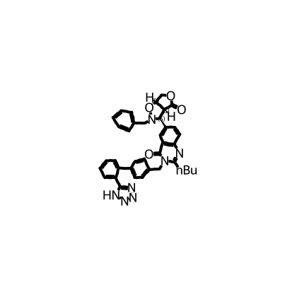 CCCCc1nc2ccc([C@@H]3[C@@H]4C(=O)OC[C@@H]4ON3Cc3ccccc3)cc2c(=O)n1Cc1ccc(-c2ccccc2-c2nnn[nH]2)cc1